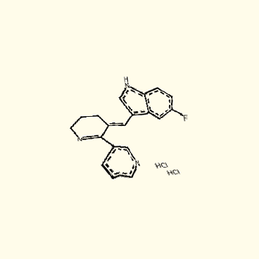 Cl.Cl.Fc1ccc2[nH]cc(C=C3CCCN=C3c3cccnc3)c2c1